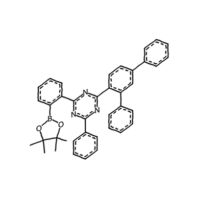 CC1(C)OB(c2ccccc2-c2nc(-c3ccccc3)nc(-c3ccc(-c4ccccc4)cc3-c3ccccc3)n2)OC1(C)C